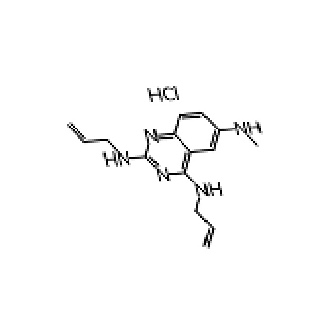 C=CCNc1nc(NCC=C)c2cc(NC)ccc2n1.Cl